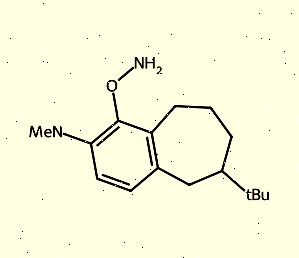 CNc1ccc2c(c1ON)CCCC(C(C)(C)C)C2